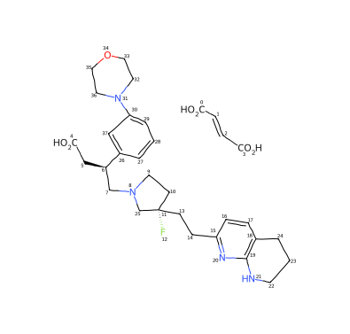 O=C(O)/C=C/C(=O)O.O=C(O)C[C@H](CN1CC[C@@](F)(CCc2ccc3c(n2)NCCC3)C1)c1cccc(N2CCOCC2)c1